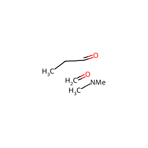 C=O.CCC=O.CNC